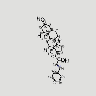 CC12CCC3[C@@H](CCC4C[C@@H](O)CC[C@@]43C)C1CC[C@@H]2CC(O)/C=C/c1ccccc1